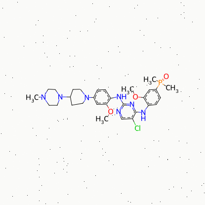 COc1cc(N2CCC(N3CCN(C)CC3)CC2)ccc1Nc1ncc(Cl)c(Nc2ccc(P(C)(C)=O)cc2OC)n1